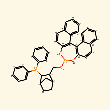 c1ccc(P(c2ccccc2)C2C3CCC(C3)C2COp2oc3ccc4ccccc4c3c3c(ccc4ccccc43)o2)cc1